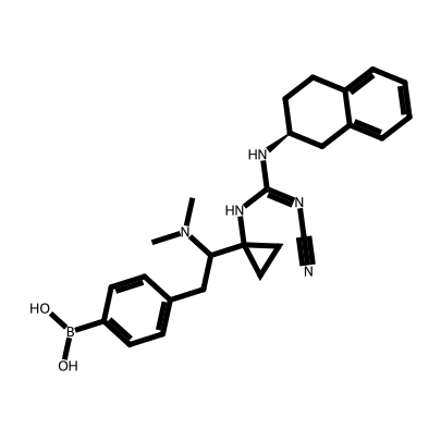 CN(C)C(Cc1ccc(B(O)O)cc1)C1(NC(=NC#N)N[C@H]2CCc3ccccc3C2)CC1